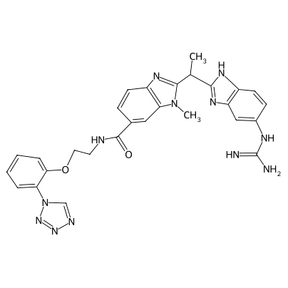 CC(c1nc2cc(NC(=N)N)ccc2[nH]1)c1nc2ccc(C(=O)NCCOc3ccccc3-n3cnnn3)cc2n1C